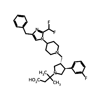 CC(C)(CC(=O)O)N1C[C@H](CN2CCC(n3cc(Cc4ccccc4)nc3C(F)F)CC2)[C@@H](c2cccc(F)c2)C1